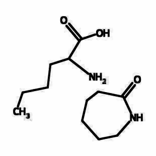 CCCCC(N)C(=O)O.O=C1CCCCCN1